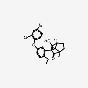 CCc1ccc(Oc2ccc(Br)cc2Cl)cc1C1=C(O)[C@@H]2CC[C@](C)(C1=O)C2(C)C